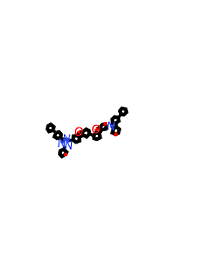 c1ccc(-c2ccc(-c3nc(-c4ccccc4)nc(-c4ccc5c(c4)oc4ccc(-c6cccc7c6oc6ccc(-n8c9ccccc9c9cc(-c%10ccccc%10)ccc98)cc67)cc45)n3)cc2)cc1